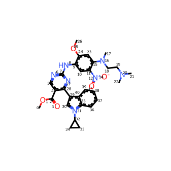 COC(=O)c1cnc(Nc2cc([N+](=O)[O-])c(N(C)CCN(C)C)cc2OC)nc1-c1cn(C2CC2)c2ccccc12